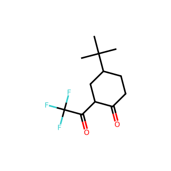 CC(C)(C)C1CCC(=O)C(C(=O)C(F)(F)F)C1